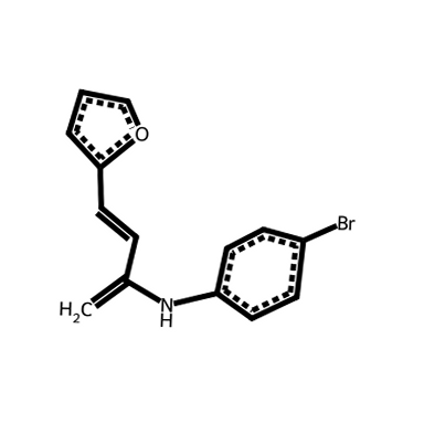 C=C(/C=C/c1ccco1)Nc1ccc(Br)cc1